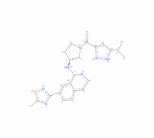 Cc1nc(-c2ccc3ccnc(N[C@H]4CCN(C(=O)c5cc(C(C)C)[nH]n5)C4)c3c2)no1